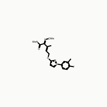 CNC(=O)C(=N/OC)/C(C)=C/COc1ccn(-c2ccc(F)c(C)c2)n1